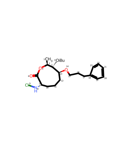 CC(C)CO[C@H]1[C@H](C)OC(=O)[C@@H](NCl)CCC[C@@H]1OCCCc1ccccc1